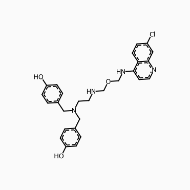 Oc1ccc(CN(CCNCOCNc2ccnc3cc(Cl)ccc23)Cc2ccc(O)cc2)cc1